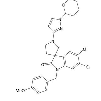 COc1ccc(CN2C(=O)C3(CCN(c4ccn(C5CCCCO5)n4)C3)c3cc(Cl)c(Cl)cc32)cc1